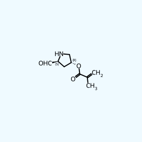 C=C(C)C(=O)O[C@H]1CN[C@H](C=O)C1